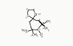 CC1(C)CC2(CC(C)(C)P1Cl)OCCO2